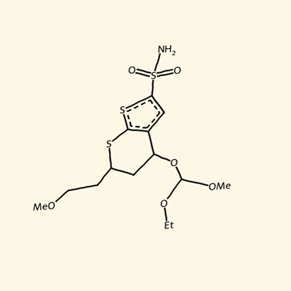 CCOC(OC)OC1CC(CCOC)Sc2sc(S(N)(=O)=O)cc21